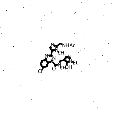 CCn1ncc(CN(C)C(=O)c2nc(-c3cnc(CNC(C)=O)n3C)nc3ccc(Cl)cc23)c1O